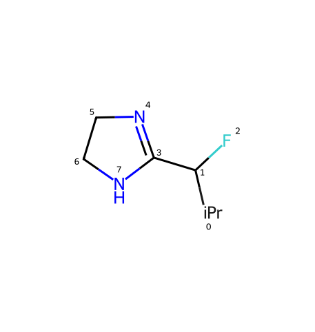 CC(C)C(F)C1=NCCN1